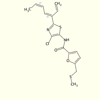 C=C/C(=C\C=C/C)c1nc(Cl)c(NC(=O)c2ccc(CSC)o2)s1